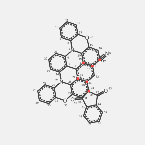 N#Cc1cc(-c2c(N3c4ccccc4Oc4ccccc43)cccc2N2c3ccccc3Oc3ccccc32)nc(N2C(=O)c3ccccc3C2=O)c1